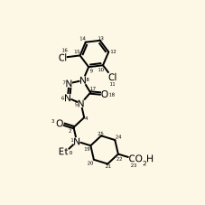 CCN(C(=O)Cn1nnn(-c2c(Cl)cccc2Cl)c1=O)C1CCC(C(=O)O)CC1